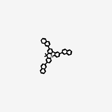 CC1(C)c2cc(-c3ccc4ccccc4c3)ccc2-n2c3ccc(-c4ccc5ccccc5c4)cc3c3cc(-c4ccc5c(c4)CCC=C5)cc1c32